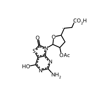 CC(=O)OC1CC([CH]CC(=O)O)OC1n1c(=O)sc2c(O)nc(N)nc21